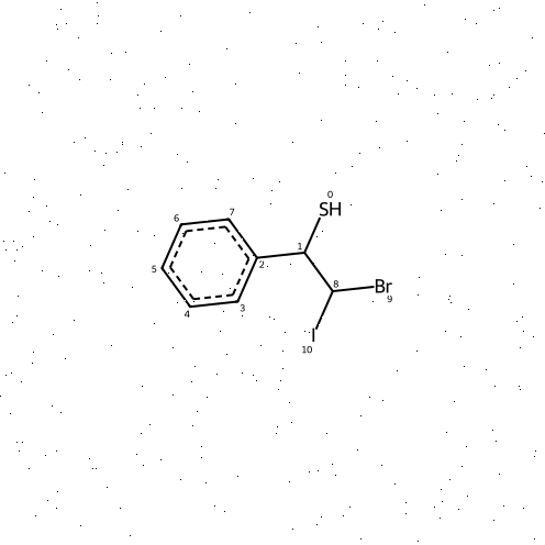 SC(c1ccccc1)C(Br)I